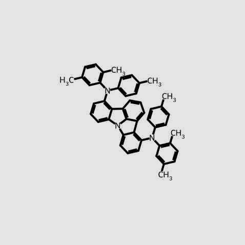 Cc1ccc(N(c2cc(C)ccc2C)c2cccc3c2c2cccc4c5c(N(c6ccc(C)cc6)c6cc(C)ccc6C)cccc5n3c24)cc1